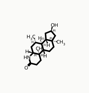 C[C@H]1C[C@H]2NC(=O)CC[C@]2(C)[C@H]2CC[C@]3(C)C[C@H](O)C[C@H]3[C@H]12